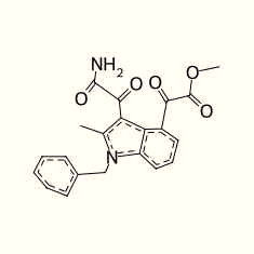 COC(=O)C(=O)c1cccc2c1c(C(=O)C(N)=O)c(C)n2Cc1ccccc1